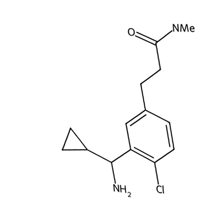 CNC(=O)CCc1ccc(Cl)c(C(N)C2CC2)c1